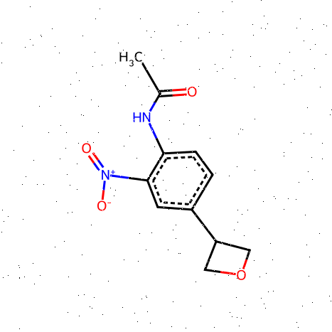 CC(=O)Nc1ccc(C2COC2)cc1[N+](=O)[O-]